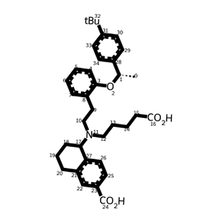 C[C@H](Oc1ccccc1CCN(CCCCC(=O)O)C1CCCc2cc(C(=O)O)ccc21)c1ccc(C(C)(C)C)cc1